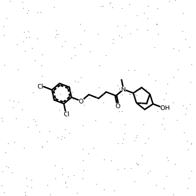 CN(C(=O)CCCOc1ccc(Cl)cc1Cl)C1CC2CC1CC2O